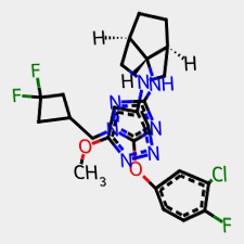 COc1cc(N2C[C@H]3CC[C@@H](C2)[C@@H]3Nc2nc(Oc3ccc(F)c(Cl)c3)n(CC3CC(F)(F)C3)n2)cnn1